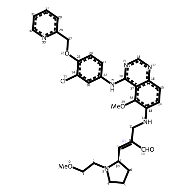 COCCN1CCC[C@@H]1/C=C(\C=O)CNc1ccc2ncnc(Nc3ccc(OCc4ccccn4)c(Cl)c3)c2c1OC